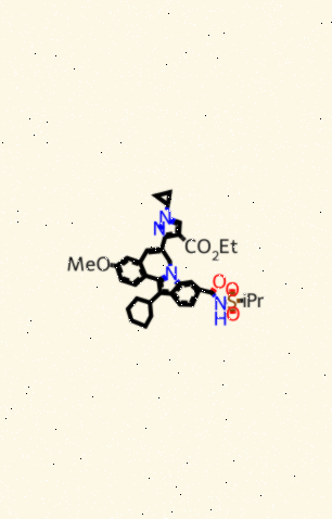 CCOC(=O)c1cn(C2CC2)nc1C1=Cc2cc(OC)ccc2-c2c(C3CCCCC3)c3ccc(C(=O)NS(=O)(=O)C(C)C)cc3n2C1